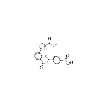 COC(=O)c1ccc(-c2cccc3c2OC(c2ccc(C(=O)O)cc2)CC3=O)o1